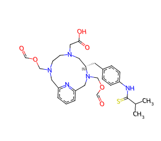 CC(C)C(=S)Nc1ccc(C[C@H]2CN(CC(=O)O)CCN(COC=O)Cc3cccc(n3)CN2COC=O)cc1